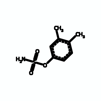 Cc1ccc(OS(N)(=O)=O)cc1C